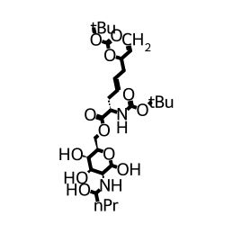 C=CC(C/C=C/C[C@H](NC(=O)OC(C)(C)C)C(=O)OC[C@H]1OC(O)[C@H](NC(O)CCC)[C@@H](O)[C@@H]1O)OC(=O)OC(C)(C)C